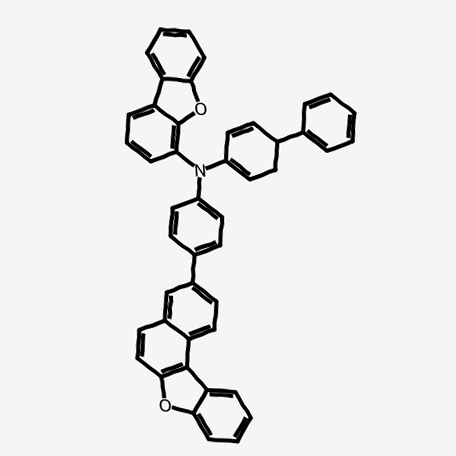 C1=CC(c2ccccc2)CC=C1N(c1ccc(-c2ccc3c(ccc4oc5ccccc5c43)c2)cc1)c1cccc2c1oc1ccccc12